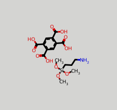 CO[Si](CCCN)(OC)OC.O=C(O)c1cc(C(=O)O)c(C(=O)O)cc1C(=O)O